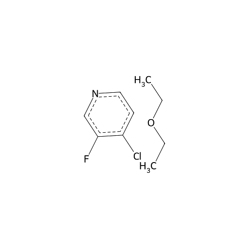 CCOCC.Fc1cnccc1Cl